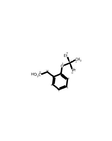 CC[C@](C)(Oc1ccccc1CC(=O)O)C(C)C